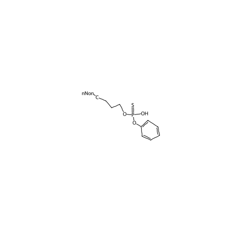 CCCCCCCCCCCCCOP(O)(=S)Oc1ccccc1